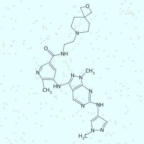 Cc1ncc(C(=O)NCCN2CCC3(CC2)COC3)cc1Nc1nn(C)c2nc(Nc3cnn(C)c3)ncc12